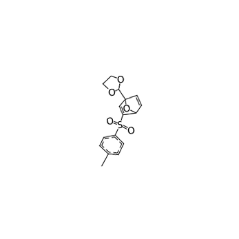 Cc1ccc(S(=O)(=O)C2=CC3(C4OCCO4)C=CC2O3)cc1